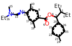 CCC(CC)C(OC(=O)c1cc(C)c(/N=C/N(C)CC)cc1C)c1ccc(C)cc1